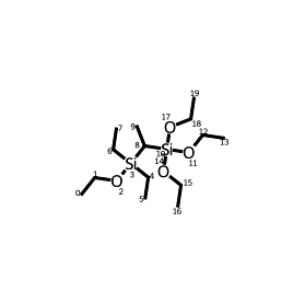 CCO[Si](CC)(CC)C(C)[Si](OCC)(OCC)OCC